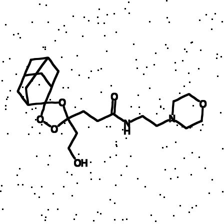 O=C(CCC1(CCO)OOC2(O1)C1CC3CC(C1)CC2C3)NCCN1CCOCC1